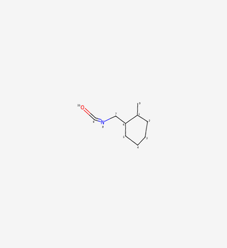 CC1CCCCC1CN=C=O